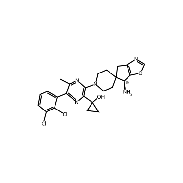 Cc1nc(N2CCC3(CC2)Cc2ncoc2[C@H]3N)c(C2(O)CC2)nc1-c1cccc(Cl)c1Cl